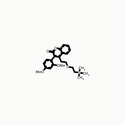 COc1ccc(-c2c(CCOCC[Si](C)(C)C)c3ccccc3oc2=O)c(OC)c1